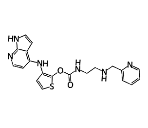 O=C(NCCNCc1ccccn1)Oc1sccc1Nc1ccnc2[nH]ccc12